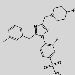 Cc1cccc(Cc2nc(CN3CCC(F)CC3)nn2-c2ccc(S(N)(=O)=O)cc2F)c1